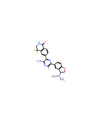 CN(C)C1COc2ccc(-c3nc(-c4ccc5c(c4)C(F)(F)CNC5=O)c(N)nc3F)cc21